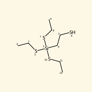 CCS[Si](CCS)(SCC)SCC